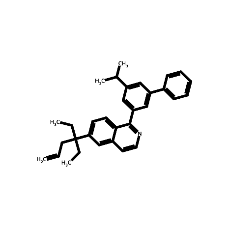 C=CCC(CC)(CC)c1ccc2c(-c3cc(-c4ccccc4)cc(C(C)C)c3)nccc2c1